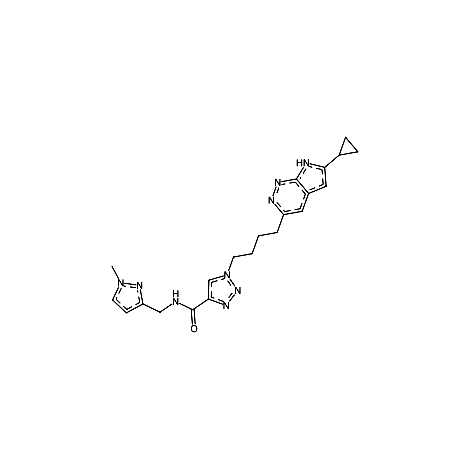 Cn1ccc(CNC(=O)c2cn(CCCCc3cc4cc(C5CC5)[nH]c4nn3)nn2)n1